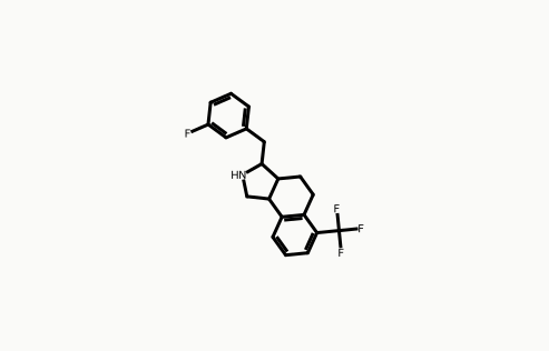 Fc1cccc(CC2NCC3c4cccc(C(F)(F)F)c4CCC23)c1